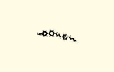 C=CCCC[Si@H]1CC[C@H](CCCC[C@H]2CC[C@H](c3ccc(C#N)cc3)CC2)CC1